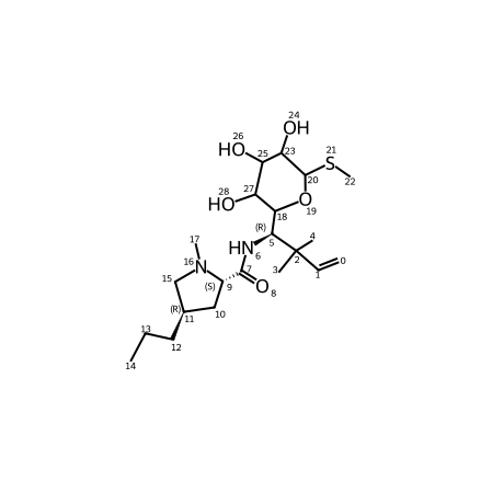 C=CC(C)(C)[C@@H](NC(=O)[C@@H]1C[C@@H](CCC)CN1C)C1OC(SC)C(O)C(O)C1O